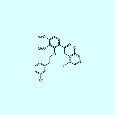 COc1ccc(C(=O)Cc2c(Cl)cncc2Cl)c(OCCc2cccc(Br)c2)c1OC